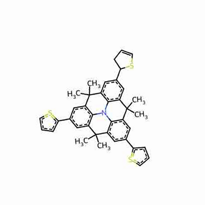 CC1(C)c2cc(-c3cccs3)cc3c2N2c4c1cc(-c1cccs1)cc4C(C)(C)c1cc(C4CC=CS4)cc(c12)C3(C)C